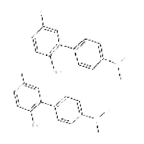 C[S+]([O-])c1ccc(-c2cc(F)ccc2[N+](=O)[O-])cc1.C[S+]([O-])c1ccc(-c2cc(F)ccc2[N+](=O)[O-])cc1.[S-2]